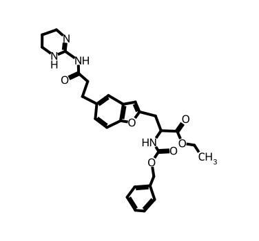 CCOC(=O)C(Cc1cc2cc(CCC(=O)NC3=NCCCN3)ccc2o1)NC(=O)OCc1ccccc1